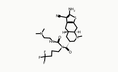 CN(C)CCNC(=O)N(CCCC(F)(F)F)C(=O)[C@@H]1C[C@@H]2Cc3c(sc(N)c3C#N)C[C@H]2N(C)C1